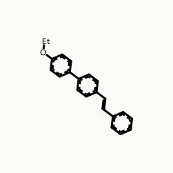 CCOc1ccc(-c2ccc(C=Cc3ccccc3)cc2)cc1